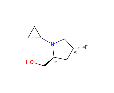 OC[C@@H]1C[C@@H](F)CN1C1CC1